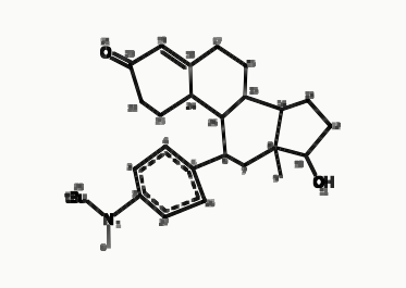 CN(c1ccc(C2CC3(C)C(O)CCC3C3CCC4=CC(=O)CCC4C23)cc1)C(C)(C)C